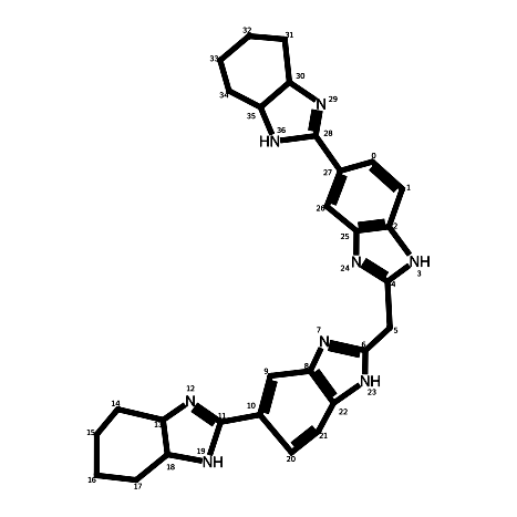 c1cc2[nH]c(Cc3nc4cc(C5=NC6CCCCC6N5)ccc4[nH]3)nc2cc1C1=NC2CCCCC2N1